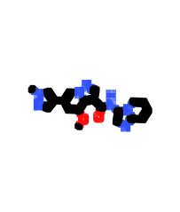 COc1cc(-c2cnn(C)c2)cn2ncc(C(=O)Nc3cnc4ccccn34)c12